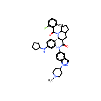 Cc1cccc(F)c1C(=O)N1C2CCCC2CC(C(=O)Nc2ccc3c(cnn3C3CCN(C)CC3)c2)[C@@H]1c1ccc(NC2CCCC2)cc1